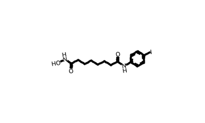 O=C(CCCCCCC(=O)Nc1ccc(I)cc1)NO